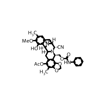 COc1c(C)cc2c(c1O)[C@@H]1[C@@H]3Cc4c(OC(C)=O)c(C)c5c(c4[C@H](COC(=O)Nc4ccccc4)N3[C@@H](C#N)[C@@H](C2)N1C)OCO5